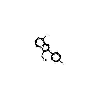 OCc1c(-c2ccc(F)cc2)nc2c(Br)cccn12